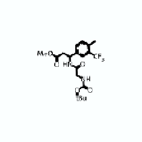 COC(=O)CC(NC(=O)CNC(=O)OC(C)(C)C)c1ccc(C)c(C(F)(F)F)c1